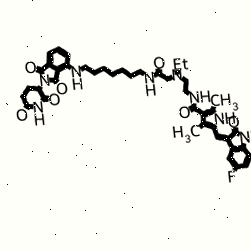 CCN(CCNC(=O)c1c(C)[nH]c(/C=C2\C(=O)Nc3ccc(F)cc32)c1C)CC(=O)NCCCCCCCNc1cccc2c1C(=O)N(C1CCC(=O)NC1=O)C2=O